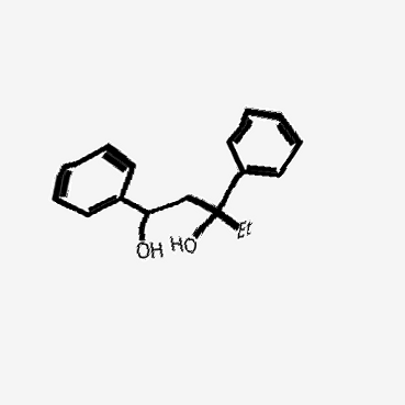 CCC(O)(CC(O)c1ccccc1)c1ccccc1